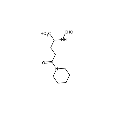 O=CNC(CCC(=O)N1CCCCC1)C(=O)O